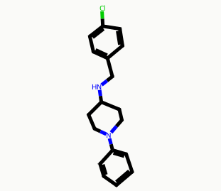 Clc1ccc(CNC2CCN(c3[c]cccc3)CC2)cc1